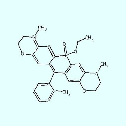 CCOP1(=O)c2cc3c(cc2C(c2ccccc2C)=c2cc4c(cc21)=[N+](C)CCO4)OCCN3C